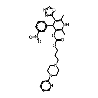 CC1=C(OC(=O)OCCCN2CCN(c3ccccn3)CC2)C(c2cccc([N+](=O)[O-])c2)C(c2nnco2)=C(C)N1